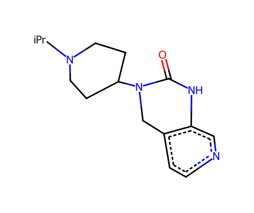 CC(C)N1CCC(N2Cc3ccncc3NC2=O)CC1